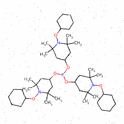 CC1(C)CC(OP(OC2CC(C)(C)N(OC3CCCCC3)C(C)(C)C2)OC2CC(C)(C)N(OC3CCCCC3)C(C)(C)C2)CC(C)(C)N1OC1CCCCC1